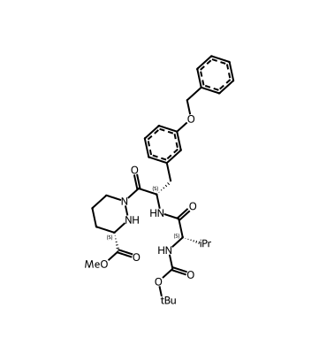 COC(=O)[C@@H]1CCCN(C(=O)[C@H](Cc2cccc(OCc3ccccc3)c2)NC(=O)[C@@H](NC(=O)OC(C)(C)C)C(C)C)N1